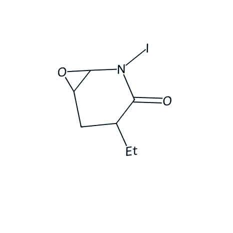 CCC1CC2OC2N(I)C1=O